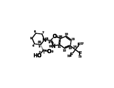 O=C(O)[C@@H]1CCCCN1c1nc2cc(C(F)(F)F)ccc2o1